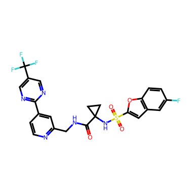 O=C(NCc1cc(-c2ncc(C(F)(F)F)cn2)ccn1)C1(NS(=O)(=O)c2cc3cc(F)ccc3o2)CC1